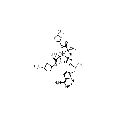 C[C@@H]1CC[C@H](OC(=O)C(C)(C)NP(=O)(CO[C@H](C)Cn2cnc3c(N)ncnc32)NC(C)(C)C(=O)O[C@H]2CC[C@@H](C)C2)C1